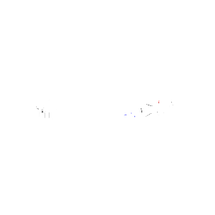 CC(=O)C(C(C)=O)C(=O)c1ccc(NCCCCCCCCCCCCCC[Si](C)(C)C)cc1